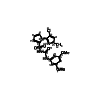 COc1cc(OC)nc(NC(=O)NS(=O)(=O)c2nccn2-c2nn(C)cc2Cl)n1